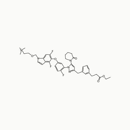 CCOC(=O)CCc1cccc(Cc2cc(N3CCCCC3=O)n(-c3cc(Oc4c(F)cc5c(ccn5COCC[Si](C)(C)C)c4F)ccc3F)n2)c1